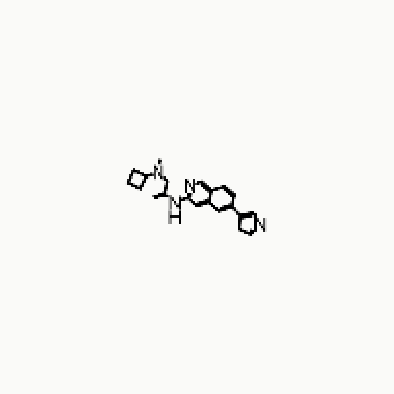 C=C(CN(C)C1CCC1)Nc1cc2cc(C3=CN=CC3)ccc2cn1